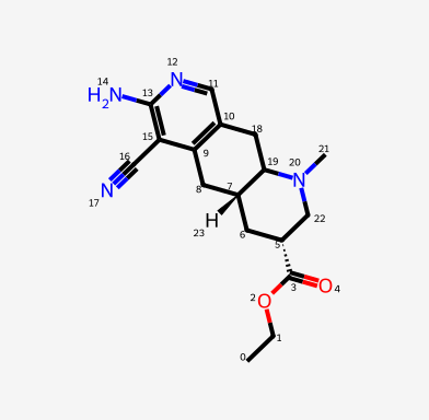 CCOC(=O)[C@@H]1C[C@@H]2Cc3c(cnc(N)c3C#N)CC2N(C)C1